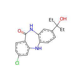 CCC(O)(CC)c1ccc2c(c1)NC(=O)c1ccc(Cl)cc1N2